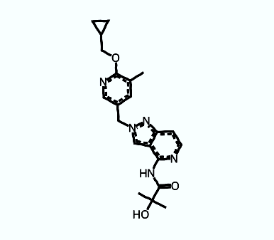 Cc1cc(Cn2cc3c(NC(=O)C(C)(C)O)nccc3n2)cnc1OCC1CC1